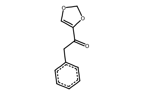 O=C(Cc1ccccc1)C1=COCO1